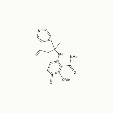 C=CCC(C)(Nn1ccc(=O)c(OC)c1C(=O)NC)c1ccccc1